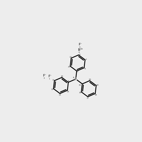 [B+3].[F-].[F-].[F-].c1ccc(P(c2ccccc2)c2ccccc2)cc1